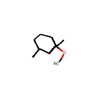 CC1CCCC(C)(OC#N)C1